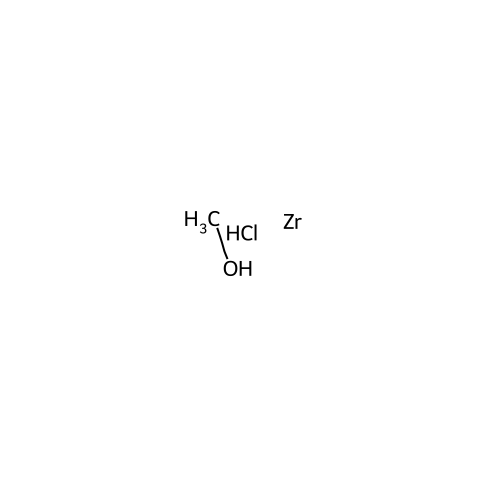 CO.Cl.[Zr]